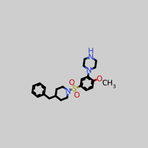 COc1ccc(S(=O)(=O)N2CCC(Cc3ccccc3)CC2)cc1N1CCNCC1